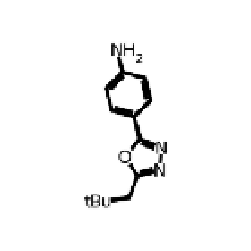 CC(C)(C)Cc1nnc(-c2ccc(N)cc2)o1